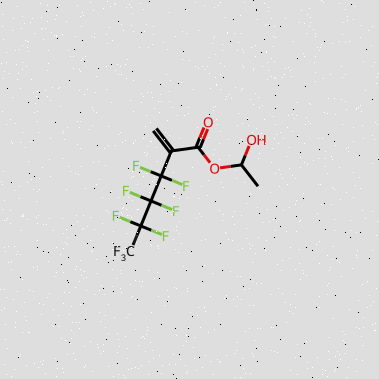 C=C(C(=O)OC(C)O)C(F)(F)C(F)(F)C(F)(F)C(F)(F)F